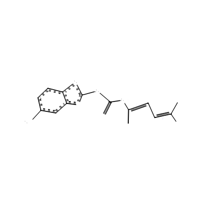 CC/C(C)=C/C=C(\C)NC(=O)Nc1nc2ccc(C#N)cc2s1